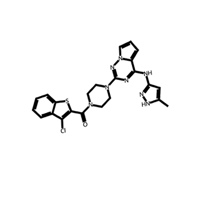 Cc1cc(Nc2nc(N3CCN(C(=O)c4sc5ccccc5c4Cl)CC3)nn3cccc23)n[nH]1